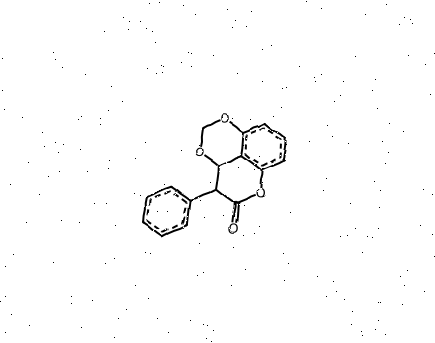 O=C1Oc2cccc3c2C(OCO3)C1c1ccccc1